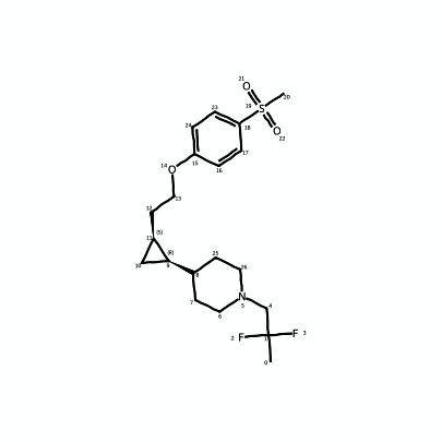 CC(F)(F)CN1CCC([C@H]2C[C@H]2CCOc2ccc(S(C)(=O)=O)cc2)CC1